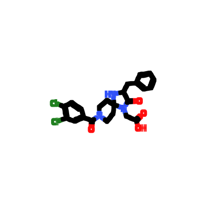 O=C(O)CN1C(=O)C(Cc2ccccc2)NC12CCN(C(=O)c1ccc(Cl)c(Cl)c1)CC2